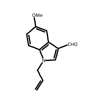 C=CCn1cc(C=O)c2cc(OC)ccc21